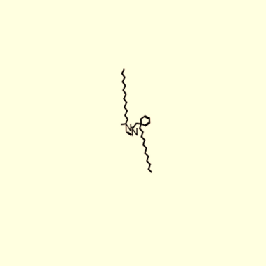 CCCCCCCCCCCCCC(C)n1ccnc1CC1(CCCCCCCCCCCC)C=CC=CC1